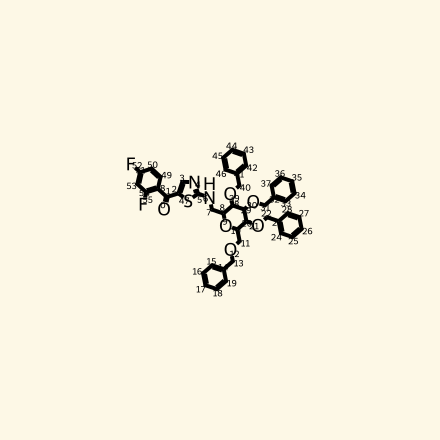 O=C(c1cnc(NCC2OC(COCc3ccccc3)C(OCc3ccccc3)C(OCc3ccccc3)C2OCc2ccccc2)s1)c1ccc(F)cc1F